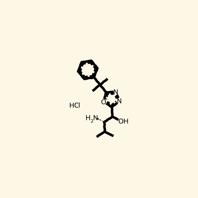 CC(C)[C@H](N)C(O)c1nnc(C(C)(C)c2ccccc2)o1.Cl